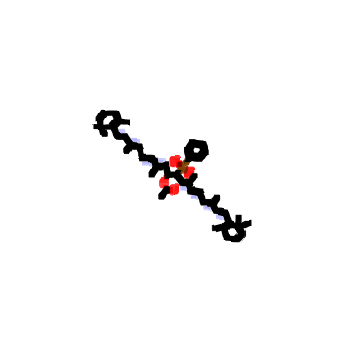 CC(=O)OC(/C=C(C)/C=C/C=C(C)/C=C/C1=C(C)CCCC1(C)C)C(/C=C(C)/C=C/C=C(C)/C=C/C1=C(C)CCCC1(C)C)S(=O)(=O)c1ccccc1